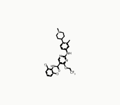 Cc1cc(Nc2ncc(C(=O)Nc3c(Cl)cccc3Cl)c(OCC(F)(F)F)n2)ccc1C1CCN(C)CC1